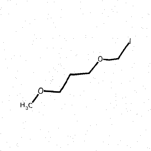 COCCCOCI